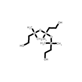 C[Si](C)(CCO)O[Si](C)(CCO)O[Si](C)(C)CCO